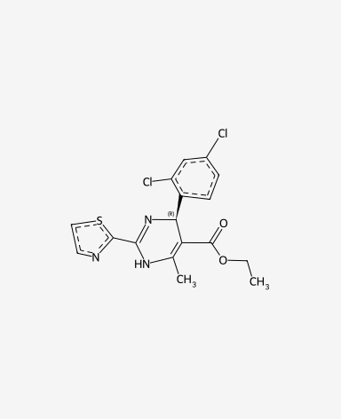 CCOC(=O)C1=C(C)NC(c2nccs2)=N[C@H]1c1ccc(Cl)cc1Cl